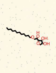 CCCCCCCCCCCCOC[C@@H](O)[C@H]1OC[C@H](O)[C@H]1O